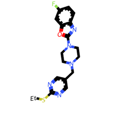 CCSc1ncc(CN2CCN(c3nc4ccc(F)cc4o3)CC2)cn1